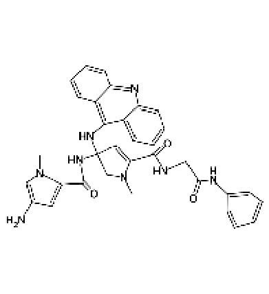 CN1CC(NC(=O)c2cc(N)cn2C)(Nc2c3ccccc3nc3ccccc23)C=C1C(=O)NCC(=O)Nc1ccccc1